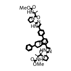 COC(=O)N[C@@H](C)C(=O)N1CCC[C@H]1c1ncc(-c2ccc(-c3ccc(-c4cnc([C@@H]5CCCN5C(=O)[C@H](C)NC(=O)OC)[nH]4)c4c3C3CC(c5ccccc5)CC4N3)cc2)[nH]1